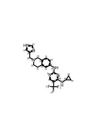 FC(F)(F)c1cnc(Nc2ccc3c(c2)CCN(Cc2c[nH]cn2)C3)nc1NC1CC1